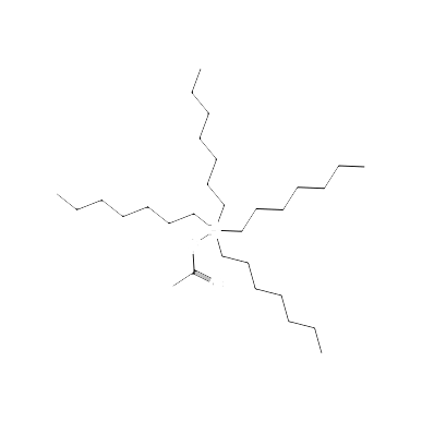 CCCCCCCP(CCCCCCC)(CCCCCCC)(CCCCCCC)OC(C)=O